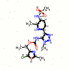 Cc1nc([C@@H](C)OC(=O)Nc2c(-c3ccc(NS(C)(=O)=O)c(C)n3)nnn2C)c(Cl)s1